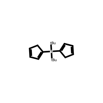 C[C](C)(C)[Ti]([C]1=CC=CC1)([C]1=CC=CC1)[C](C)(C)C